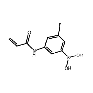 C=CC(=O)Nc1cc(F)cc(B(O)O)c1